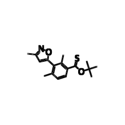 Cc1cc(-c2c(C)ccc(C(=S)OC(C)(C)C)c2C)on1